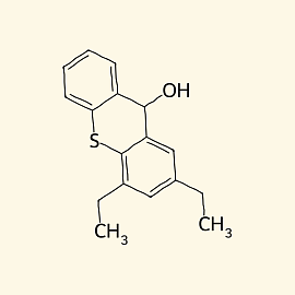 CCc1cc(CC)c2c(c1)C(O)c1ccccc1S2